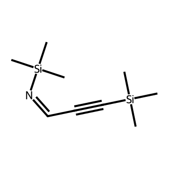 C[Si](C)(C)C#C/C=N\[Si](C)(C)C